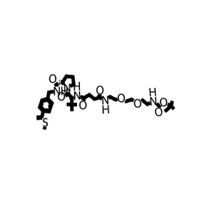 C=C(SC)c1ccc(CNC(=O)[C@@H]2CCCN2C(=O)[C@@H](NC(=O)CCC(=O)NCCOCCOCCNC(=O)OC(C)(C)C)C(C)(C)C)cc1